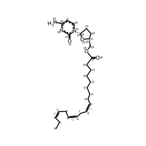 CC/C=C\C/C=C\C/C=C\CCCCCCCC(=O)OC[C@@H]1CC[C@@H](n2ccc(N)nc2=O)O1